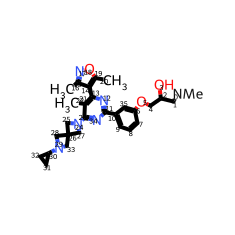 CNCC(O)COc1cccc(-c2nc(-c3c(C)noc3C)c(C)c(N3CC4(C3)CN(C3CC3)C4)n2)c1